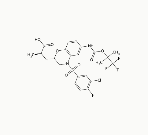 C[C@H](C[C@H]1CN(S(=O)(=O)c2ccc(F)c(Cl)c2)c2cc(NC(=O)OC(C)(C)C(F)(F)F)ccc2O1)C(=O)O